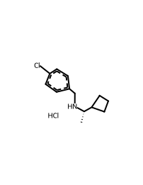 C[C@H](NCc1ccc(Cl)cc1)C1CCC1.Cl